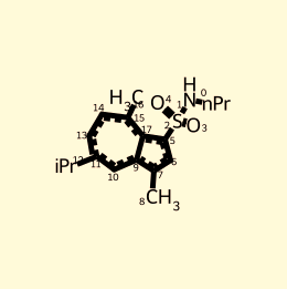 CCCNS(=O)(=O)c1cc(C)c2cc(C(C)C)ccc(C)c1-2